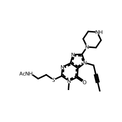 CC#CCn1c(N2CCNCC2)nc2nc(SCCNC(C)=O)n(C)c(=O)c21